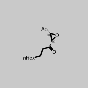 CCCCCCCCC(=O)[C@H]1O[C@H]1C(C)=O